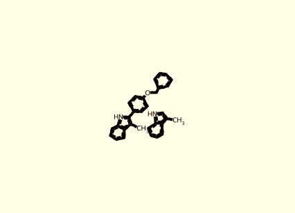 Cc1c(-c2ccc(OCc3ccccc3)cc2)[nH]c2ccccc12.Cc1c[nH]c2ccccc12